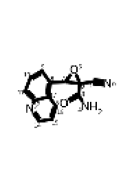 N#CC1(C(N)=O)OC1c1cccc2ncccc12